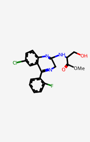 COC(=O)C(CO)NC1=Nc2ccc(Cl)cc2C(c2ccccc2F)=NC1